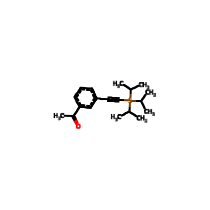 CC(=O)c1cccc(C#CS(C(C)C)(C(C)C)C(C)C)c1